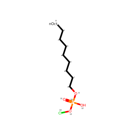 CCCCCCCCCCCCCCCCOP(=O)(O)OCl